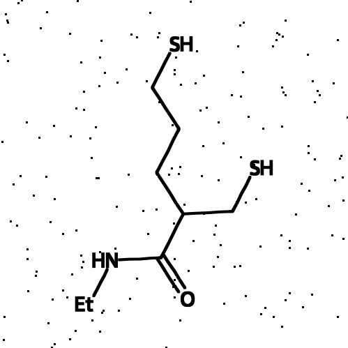 CCNC(=O)C(CS)CCCS